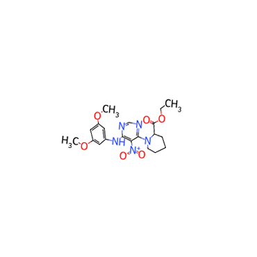 CCOC(=O)C1CCCCN1c1ncnc(Nc2cc(OC)cc(OC)c2)c1[N+](=O)[O-]